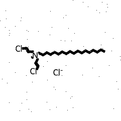 CCCCCCCCCCCCCCCCCC[N+](C)(C/C=C/Cl)C/C=C/Cl.[Cl-]